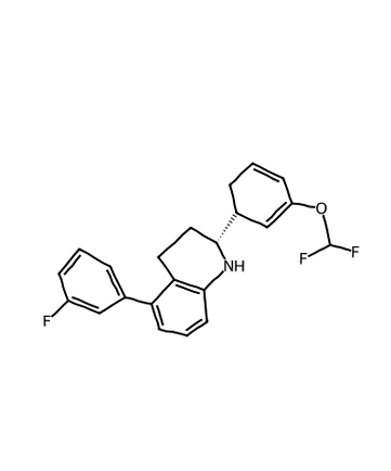 Fc1cccc(-c2cccc3c2CC[C@H](C2C=C(OC(F)F)C=CC2)N3)c1